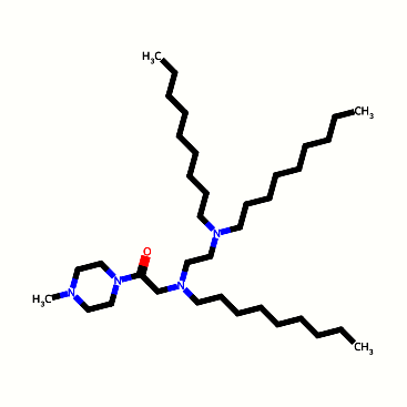 CCCCCCCCCN(CCCCCCCCC)CCN(CCCCCCCCC)CC(=O)N1CCN(C)CC1